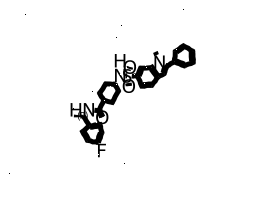 C[C@@H](NC(=O)C1CCC(NS(=O)(=O)c2ccc3cc(-c4ccccc4)n(C)c3c2)CC1)c1ccc(F)cc1